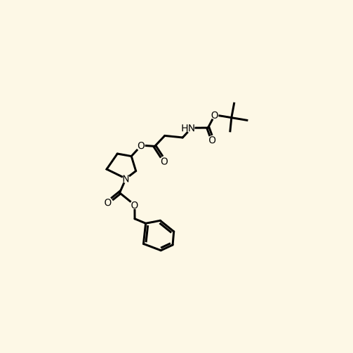 CC(C)(C)OC(=O)NCCC(=O)OC1CCN(C(=O)OCc2ccccc2)C1